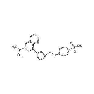 CC(C)c1cc(-c2cccc(COc3ccc(S(C)(=O)=O)cc3)c2)c2ncccc2c1